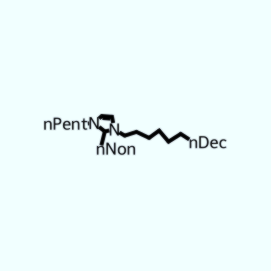 CCCCCCCCCCCCCCCCN1C=CN(CCCCC)C1CCCCCCCCC